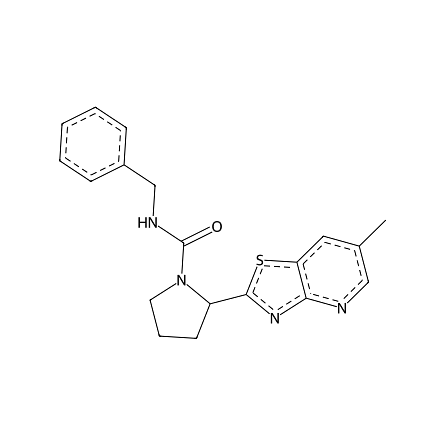 Cc1cnc2nc(C3CCCN3C(=O)NCc3ccccc3)sc2c1